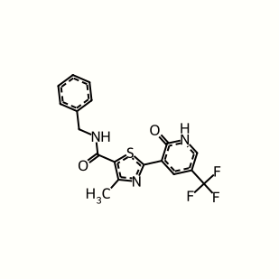 Cc1nc(-c2cc(C(F)(F)F)c[nH]c2=O)sc1C(=O)NCc1ccccc1